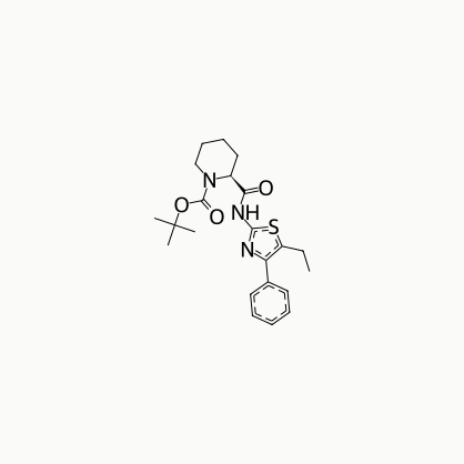 CCc1sc(NC(=O)[C@@H]2CCCCN2C(=O)OC(C)(C)C)nc1-c1ccccc1